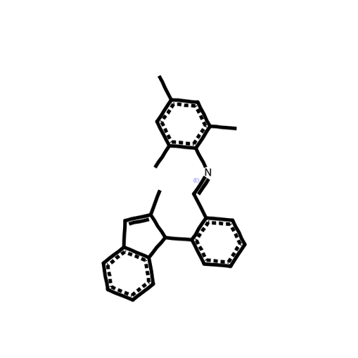 CC1=Cc2ccccc2C1c1ccccc1/C=N/c1c(C)cc(C)cc1C